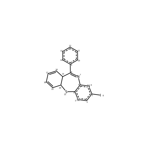 Ic1cnc2c(n1)N=C(c1ccccc1)C1C=CC=CC1S2